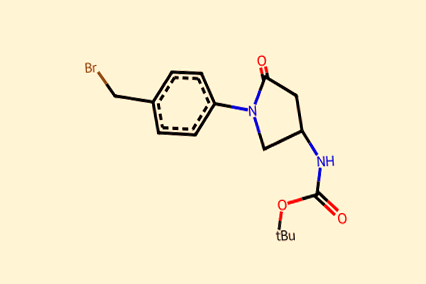 CC(C)(C)OC(=O)NC1CC(=O)N(c2ccc(CBr)cc2)C1